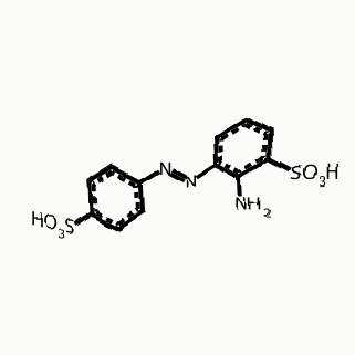 Nc1c(N=Nc2ccc(S(=O)(=O)O)cc2)cccc1S(=O)(=O)O